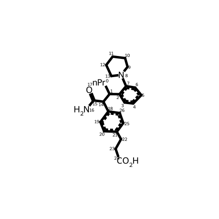 CCCC(c1ccccc1N1CCCCC1)C(C(N)=O)c1ccc(CCC(=O)O)cc1